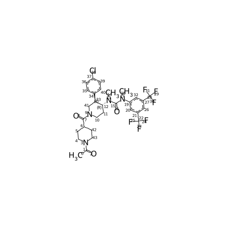 CC(=O)N1CCC(C(=O)N2CC[C@@H](N(C)C(=O)N(C)c3cc(C(F)(F)F)cc(C(F)(F)F)c3)[C@H](c3ccc(Cl)cc3)C2)CC1